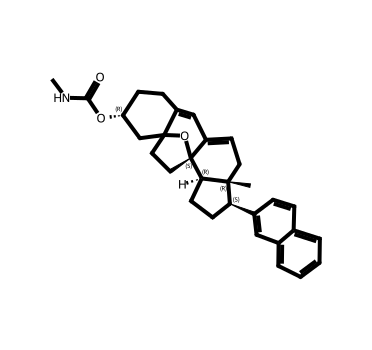 CNC(=O)O[C@@H]1CCC2=CC3=CC[C@]4(C)[C@@H](c5ccc6ccccc6c5)CC[C@H]4[C@@]34CCC2(C1)O4